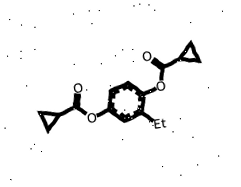 CCc1cc(OC(=O)C2CC2)ccc1OC(=O)C1CC1